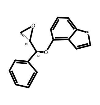 c1ccc([C@H](Oc2cccc3sccc23)[C@@H]2CO2)cc1